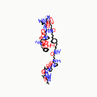 CO[C@H](CC(=O)N1CCCC1[C@H](OC)[C@@H](C)C(=O)N[C@@H](Cc1ccccc1)C(=O)O)[C@H](C)N(C)C(=O)[C@@H](NC(=O)[C@H](C)N(C)C(=O)CCCC(=O)NCCCCC1CCCC(CCCCNC(=O)CCCCNC(=O)C2CCCN2C(=O)C2CCCN2C(=O)C(C(C)C)N(C)C(=O)C(NC(=O)C(C(C)C)N(C)C)C(C)C)CCC1)C(C)C